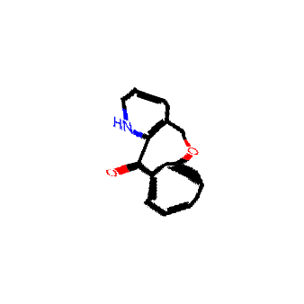 O=C1C2=C(C=CCN2)COc2ccccc21